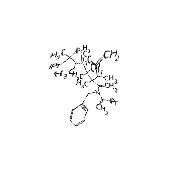 C=C(C)C(C)C(C)(C(=C)N(Cc1ccccc1)C(=C)C(C)C)C(C)(C)C(C)C(C)C(C)(C(C)C)C(C)C